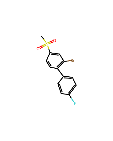 CS(=O)(=O)c1[c]c(Br)c(-c2ccc(F)cc2)cc1